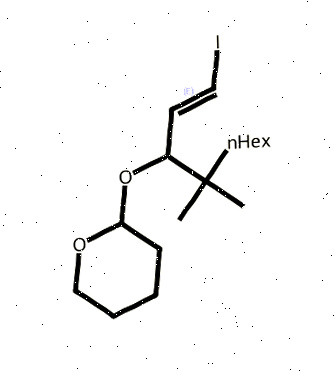 CCCCCCC(C)(C)C(/C=C/I)OC1CCCCO1